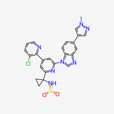 Cn1cc(-c2ccc3c(c2)ncn3-c2cc(-c3ncccc3Cl)cc(C3(N[SH](=O)=O)CC3)n2)cn1